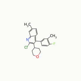 Cc1ccc2c(-c3ccc(F)c(C)c3)c(C3CCOCC3)c(Cl)nc2c1